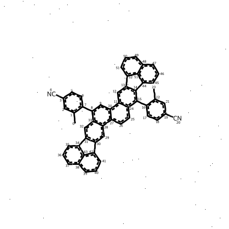 Cc1cc(C#N)ccc1-c1cc2c3cc4c(c(-c5ccc(C#N)cc5C)c3ccc2c2cc3c(cc12)-c1cccc2cccc-3c12)-c1cccc2cccc-4c12